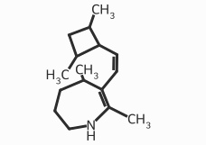 CC1=C(/C=C\C2C(C)CC2C)C(C)CCCN1